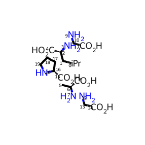 CC(C)C[C@H](N)C(=O)O.C[C@H](N)C(=O)O.NCC(=O)O.NCC(=O)O.O=C(O)[C@@H]1CCCN1